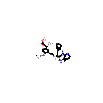 COc1ccc([C@@H](C)C(=O)O)cc1CCN[C@H](c1ccccc1)[C@H]1CNc2cccnc2N1